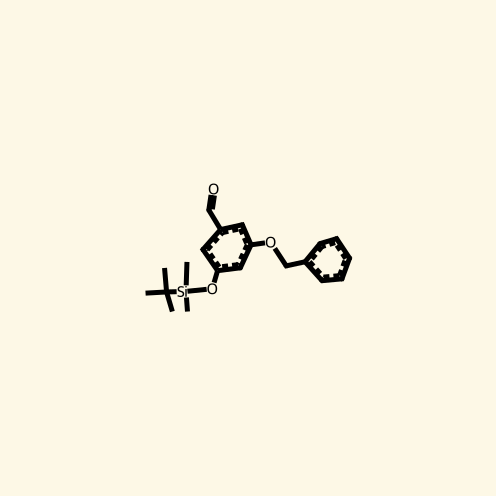 CC(C)(C)[Si](C)(C)Oc1cc(C=O)cc(OCc2ccccc2)c1